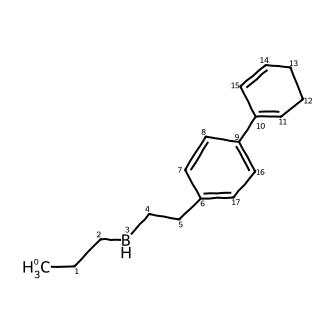 CCCBCCc1ccc(C2=CCCC=C2)cc1